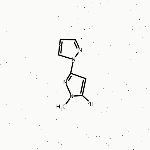 [2H]c1cc(-n2cccn2)nn1C